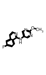 COc1ncc(Nc2nccc3cc(F)ccc23)cn1